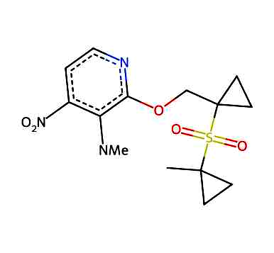 CNc1c([N+](=O)[O-])ccnc1OCC1(S(=O)(=O)C2(C)CC2)CC1